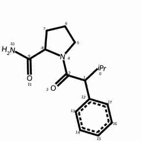 CC(C)C(C(=O)N1CCCC1C(N)=O)c1ccccc1